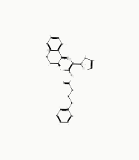 O=C(CCCc1ccccc1)Nc1nc2c(nc1C1CC=CS1)-c1ccccc1CC2